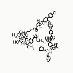 Cc1ncsc1-c1ccc([C@H](C)NC(=O)[C@@H]2C[C@@H](O)CN2C(=O)[C@@H](NC(=O)CCCCCC(=O)N2C[C@H]3C[C@@H]2CN3CC2(C)CCC(c3ccc(Cl)cc3)=C(CN3CCN(c4ccc(C(=O)NS(=O)(=O)c5ccc(N[C@H](CCN6CCOCC6)CSc6ccccc6)c(S(=O)(=O)C(F)(F)F)c5)cc4)CC3)C2)C(C)(C)C)cc1